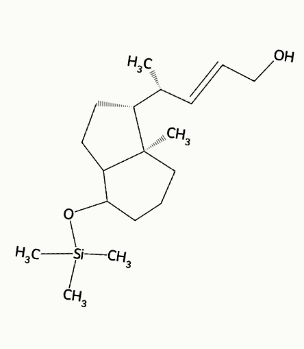 C[C@H](/C=C/CO)[C@H]1CCC2C(O[Si](C)(C)C)CCC[C@@]21C